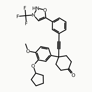 COc1ccc(C2(C#Cc3cccc(C4=CN(C(F)(F)F)NO4)c3)CCC(=O)CC2)cc1OC1CCCC1